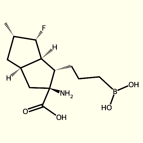 C[C@H]1C[C@@H]2C[C@@](N)(C(=O)O)[C@@H](CCCB(O)O)[C@@H]2[C@H]1F